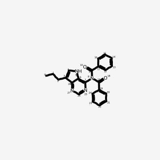 CCCc1c[nH]c2c(N(C(=O)c3ccccc3)C(=O)c3ccccc3)ncnc12